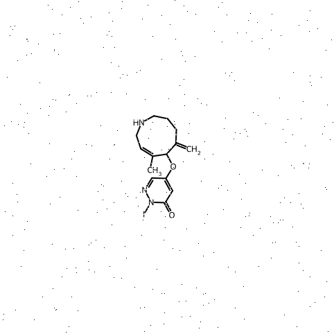 C=C1CCCNC/C=C(/C)C1Oc1cnn(I)c(=O)c1